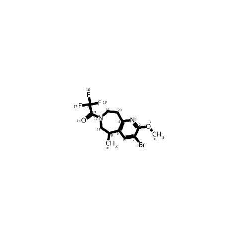 COc1nc2c(cc1Br)C(C)CN(C(=O)C(F)(F)F)CC2